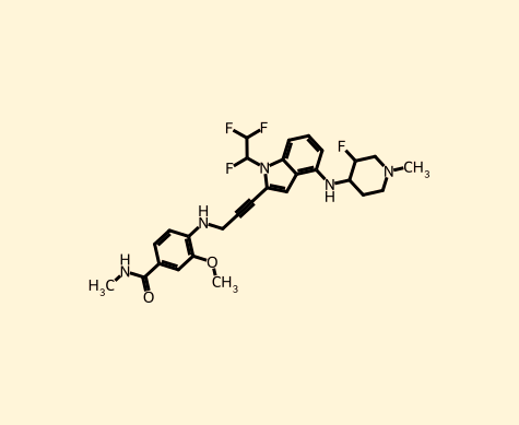 CNC(=O)c1ccc(NCC#Cc2cc3c(NC4CCN(C)CC4F)cccc3n2C(F)C(F)F)c(OC)c1